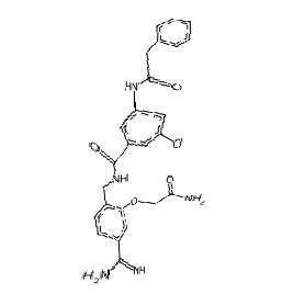 N=C(N)c1ccc(CNC(=O)c2cc(Cl)cc(NC(=O)Cc3ccccc3)c2)c(OCC(N)=O)c1